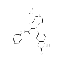 CN(C)c1nccn2c(-c3ccc4c(c3)CC(=O)N4)c(C(=O)Nc3ccccc3)nc12